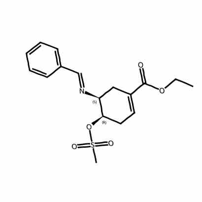 CCOC(=O)C1=CC[C@@H](OS(C)(=O)=O)[C@@H](N=Cc2ccccc2)C1